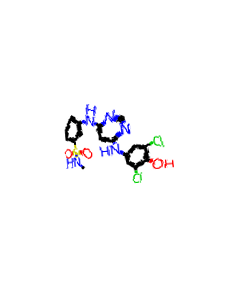 CNS(=O)(=O)c1cccc(Nc2cc(Nc3cc(Cl)c(O)c(Cl)c3)ncn2)c1